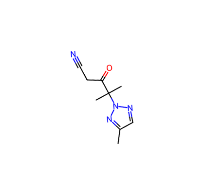 Cc1cnn(C(C)(C)C(=O)CC#N)n1